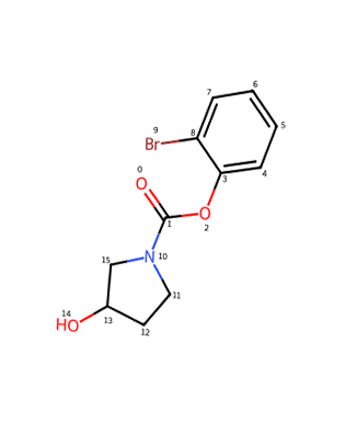 O=C(Oc1ccccc1Br)N1CCC(O)C1